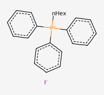 CCCCCC[P+](c1ccccc1)(c1ccccc1)c1ccccc1.[I-]